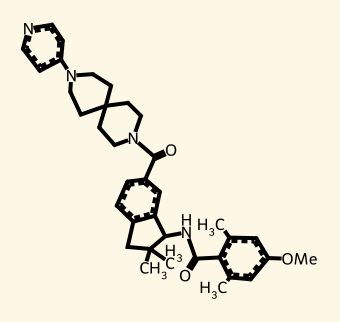 COc1cc(C)c(C(=O)NC2c3cc(C(=O)N4CCC5(CC4)CCN(c4ccncc4)CC5)ccc3CC2(C)C)c(C)c1